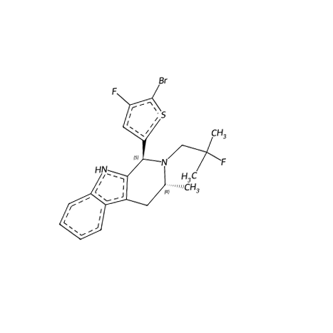 C[C@@H]1Cc2c([nH]c3ccccc23)[C@@H](c2cc(F)c(Br)s2)N1CC(C)(C)F